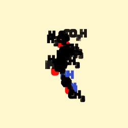 Cc1nnc(-c2ccc(CNCC[C@@]34CC[C@]5(C)[C@H](CC[C@@H]6[C@@]7(C)CC[C@H](OC(=O)[C@H]8C[C@@H](C(=O)O)C8(C)C)C(C)(C)[C@@H]7CC[C@]65C)C3=C(C(C)C)C(=O)C4)cc2)o1